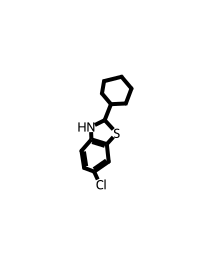 Clc1ccc2c(c1)SC(C1CCCCC1)N2